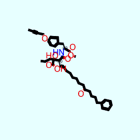 CC#CCOc1ccc(C[C@H](NC(=O)[C@@H](C=CCCCCCCC(=O)CCCCc2ccccc2)[C@@](O)(CCC)C(=O)O)C(=O)OC)cc1